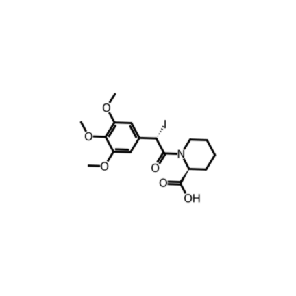 COc1cc([C@H](I)C(=O)N2CCCC[C@H]2C(=O)O)cc(OC)c1OC